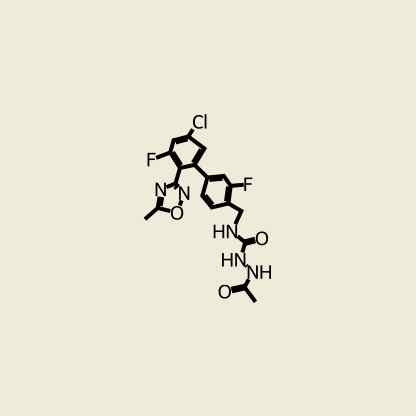 CC(=O)NNC(=O)NCc1ccc(-c2cc(Cl)cc(F)c2-c2noc(C)n2)cc1F